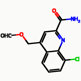 NC(=O)c1cc(COC=O)c2cccc(Cl)c2n1